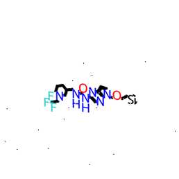 C[Si](C)(C)CCOCn1ccc2nc(NC(=O)NCC3CCCN(CC(F)(F)F)C3)cnc21